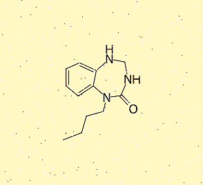 CCCCN1C(=O)NCNc2ccccc21